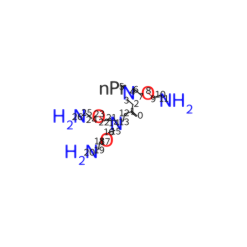 C=C(CCN(CCC)CCOCCN)CCN(CCOCCN)CCOCCN